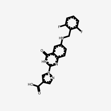 O=C(O)c1cnn(-c2nc3ccc(NCc4c(F)cccc4F)cc3c(=O)[nH]2)c1